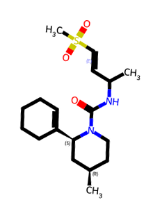 CC(/C=C/S(C)(=O)=O)NC(=O)N1CC[C@@H](C)C[C@H]1C1=CCCCC1